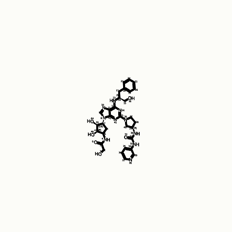 O=C(CO)NC1C[C@@H](n2cnc3c(N[C@H](CO)Cc4ccccc4)nc(N4CC[C@@H](NC(=O)Nc5cccnc5)C4)nc32)[C@H](O)[C@@H]1O